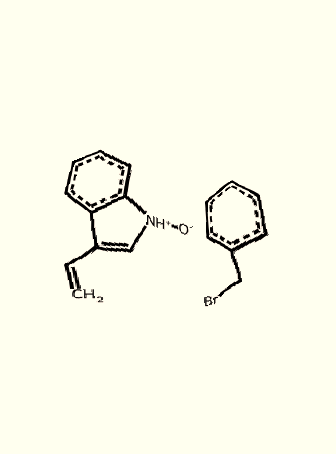 BrCc1ccccc1.C=CC1=C[NH+]([O-])c2ccccc21